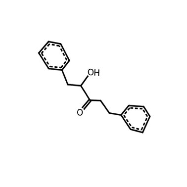 O=C(CCc1ccccc1)C(O)Cc1ccccc1